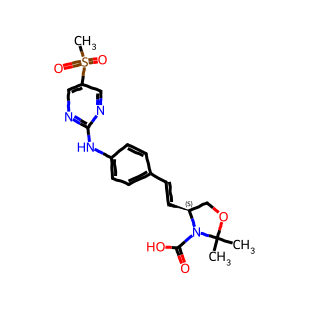 CC1(C)OC[C@H](C=Cc2ccc(Nc3ncc(S(C)(=O)=O)cn3)cc2)N1C(=O)O